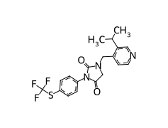 CC(C)c1cnccc1CN1CC(=O)N(c2ccc(SC(F)(F)F)cc2)C1=O